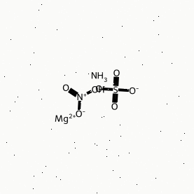 N.O=S(=O)([O-])[O-].O=[N+]([O-])O.[Mg+2]